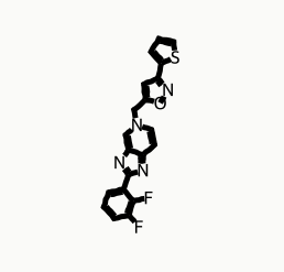 Fc1cccc(-c2nc3ccn(Cc4cc(-c5cccs5)no4)cc-3n2)c1F